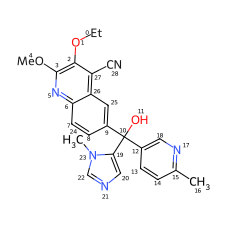 CCOc1c(OC)nc2ccc(C(O)(c3ccc(C)nc3)c3cncn3C)cc2c1C#N